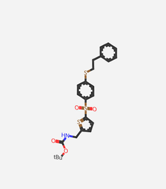 CC(C)(C)OC(=O)NCc1ccc(S(=O)(=O)c2ccc(SCCc3ccccc3)cc2)s1